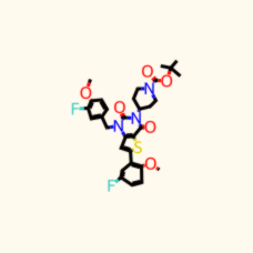 COc1ccc(Cn2c(=O)n(C3CCN(C(=O)OC(C)(C)C)CC3)c(=O)c3sc(-c4cc(F)ccc4OC)cc32)cc1F